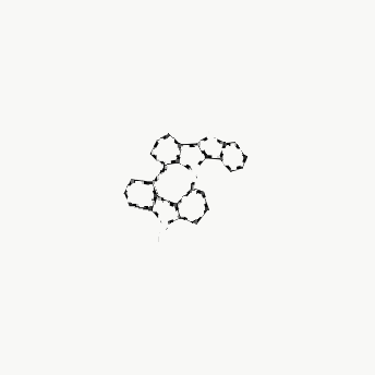 c1ccc2c(c1)sc1c3cccc4c5cccc6[nH]c7cccc(c7c65)n(c43)c21